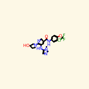 Cn1cncc1Nc1cc(C(=O)Nc2ccc(OC(F)(F)Cl)cc2)cnc1N1CC[C@@H](O)C1